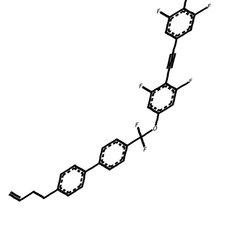 C=CCCc1ccc(-c2ccc(C(F)(F)Oc3cc(F)c(C#Cc4cc(F)c(F)c(F)c4)c(F)c3)cc2)cc1